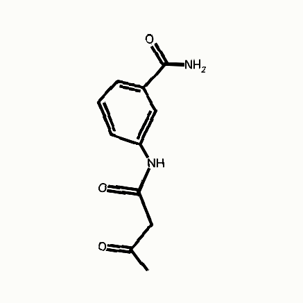 CC(=O)CC(=O)Nc1cccc(C(N)=O)c1